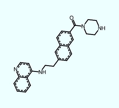 O=C(c1ccc2cc(CCNc3ccnc4ccccc34)ccc2c1)N1CCNCC1